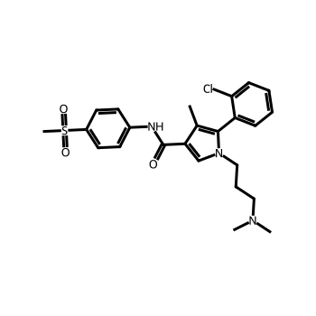 Cc1c(C(=O)Nc2ccc(S(C)(=O)=O)cc2)cn(CCCN(C)C)c1-c1ccccc1Cl